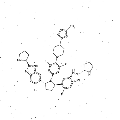 Cc1ccc(C2CCN(c3c(F)cc(N4[C@@H](c5cc6[nH]c([C@@H]7CCCN7)nc6cc5F)CC[C@@H]4c4cc5[nH]c([C@@H]6CCCN6)nc5cc4F)cc3F)CC2)s1